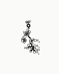 CSc1c2sc(C3=C(C(=O)O)N4C(=O)[C@H]([C@@H](C)O)[C@H]4[C@H]3C)c[n+]2cn1CCCNS(=O)(=O)NC(=O)OCc1ccc([N+](=O)[O-])cc1.O=S(=O)([O-])C(F)(F)F